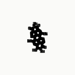 CCC(C)N1C(=O)c2ccc3c4c(C#N)cc5c6c(ccc(c7c(C#N)cc(c2c37)C1=O)c64)C(=O)N(C(C)CC)C5O